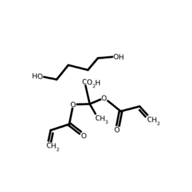 C=CC(=O)OC(C)(OC(=O)C=C)C(=O)O.OCCCCO